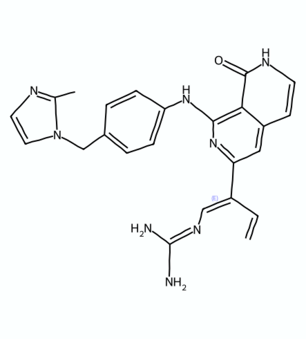 C=C/C(=C\N=C(N)N)c1cc2cc[nH]c(=O)c2c(Nc2ccc(Cn3ccnc3C)cc2)n1